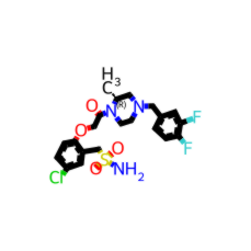 C[C@@H]1CN(Cc2ccc(F)c(F)c2)CCN1C(=O)COc1ccc(Cl)cc1CS(N)(=O)=O